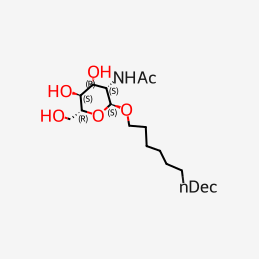 CCCCCCCCCCCCCCCCO[C@H]1O[C@H](CO)[C@@H](O)[C@H](O)[C@@H]1NC(C)=O